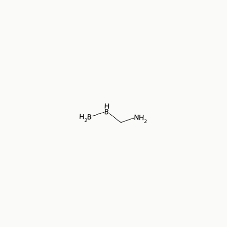 BBCN